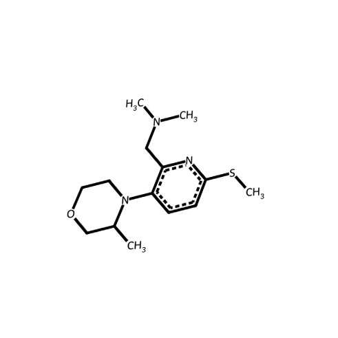 CSc1ccc(N2CCOCC2C)c(CN(C)C)n1